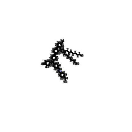 CCCCCCCCCCC1(CCCCCCCCCC)c2cc(C)ccc2-c2ccc(-c3ccc(N(c4ccc(C)cc4)c4ccc(/C=C/c5ccc(CC)cc5)cc4)cc3)cc21